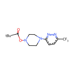 CC(C)(C)C(=O)ON1CCN(c2ccc(C(F)(F)F)nn2)CC1